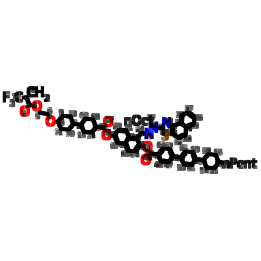 C=C(C(=O)OCCOC1CCC(C2CCC(C(=O)Oc3ccc4c(/C=N/N(CCCCCCCC)c5nc6c(ccc7ccccc76)s5)c(OC(=O)c5ccc(-c6ccc(C7CCC(CCCCC)CC7)cc6)cc5)ccc4c3)CC2)CC1)C(F)(F)F